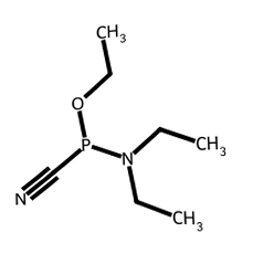 CCOP(C#N)N(CC)CC